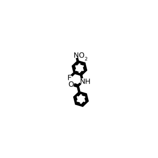 O=C(Nc1ccc([N+](=O)[O-])cc1F)c1ccccc1